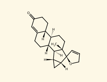 C[C@]12CC[C@H]3[C@@H](CCC4=CC(=O)CC[C@@H]43)[C@@H]1[C@H]1C[C@H]1[C@@]21C=CCO1